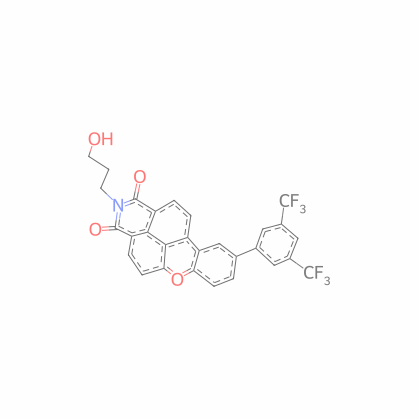 O=c1c2ccc3oc4ccc(-c5cc(C(F)(F)F)cc(C(F)(F)F)c5)cc4c4ccc(c(=O)n1CCCO)c2c34